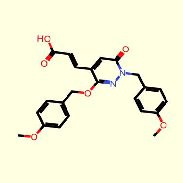 COc1ccc(COc2nn(Cc3ccc(OC)cc3)c(=O)cc2C=CC(=O)O)cc1